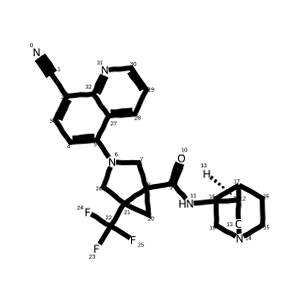 N#Cc1ccc(N2CC3(C(=O)N[C@@H]4CN5CCC4CC5)CC3(C(F)(F)F)C2)c2cccnc12